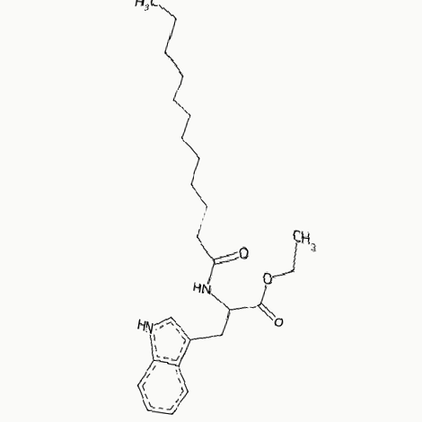 CCCCCCCCCCCC(=O)NC(Cc1c[nH]c2ccccc12)C(=O)OCC